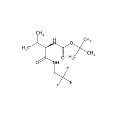 CC(C)[C@@H](NC(=O)OC(C)(C)C)C(=O)NCC(F)(F)F